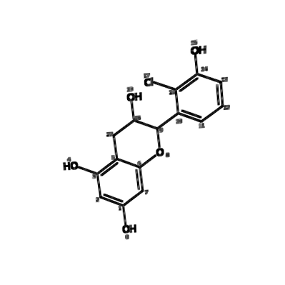 Oc1cc(O)c2c(c1)OC(c1cccc(O)c1Cl)C(O)C2